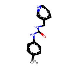 O=C(NCc1cccnc1)Nc1ccc(C(F)(F)F)cc1